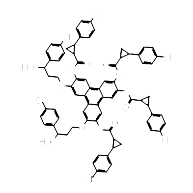 CC(CCOc1cc2c3cc(OCCC(C)c4ccc(Cl)cc4)c(OC(=O)C4CC4c4ccc(Cl)cc4)cc3c3cc(OC(=O)C4CC4c4ccc(Cl)cc4)c(OC(=O)C4CC4c4ccc(Cl)cc4)cc3c2cc1OC(=O)C1CC1c1ccc(Cl)cc1)c1ccc(Cl)cc1